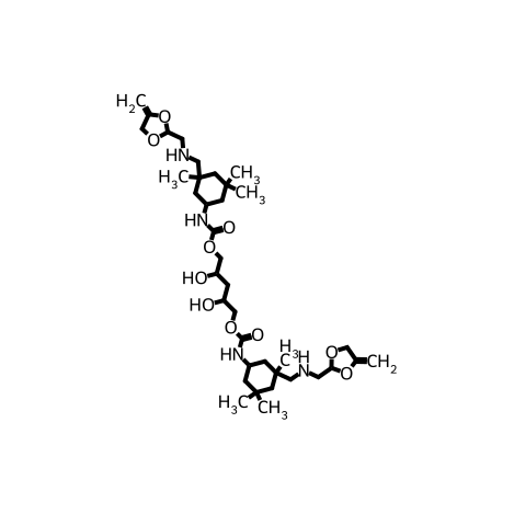 C=C1COC(CNCC2(C)CC(NC(=O)OCC(O)CC(O)COC(=O)NC3CC(C)(C)CC(C)(CNCC4OCC(=C)O4)C3)CC(C)(C)C2)O1